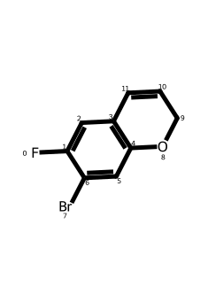 Fc1cc2c(cc1Br)OCC=C2